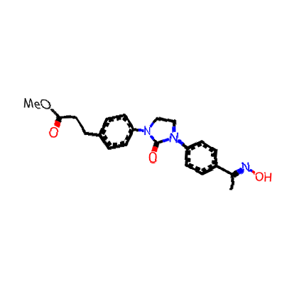 COC(=O)CCc1ccc(N2CCN(c3ccc(C(C)=NO)cc3)C2=O)cc1